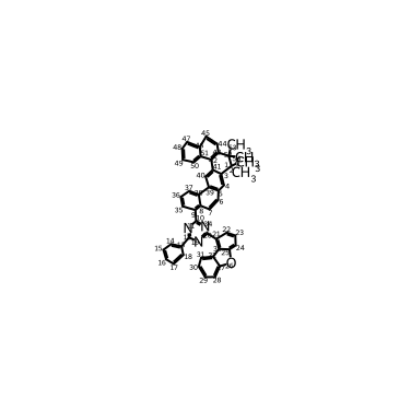 CC1(C)c2cc3ccc4c(-c5nc(-c6ccccc6)nc(-c6cccc7oc8ccccc8c67)n5)cccc4c3cc2-c2c(ccc3ccccc23)C1(C)C